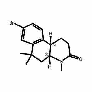 CN1C(=O)CC[C@H]2c3ccc(Br)cc3C(C)(C)C[C@H]21